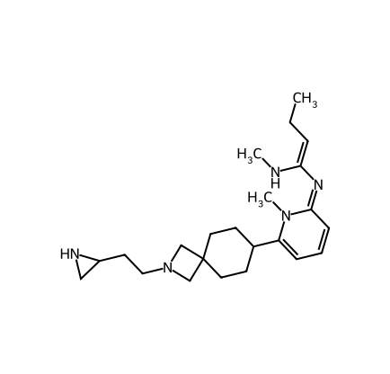 CC/C=C(/N=c1/cccc(C2CCC3(CC2)CN(CCC2CN2)C3)n1C)NC